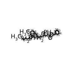 CC/C=C\C/C=C\CC(OP(P)P)C(C)\C=C/C=C/C=C\C=C\C(CCC(=O)OCc1ccccc1)OP